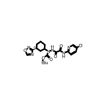 CC(C)(C)OC(=O)N(NC(=O)C(=O)Nc1ccc(Cl)cn1)C1CCC[C@H](c2ncon2)C1